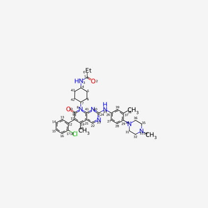 CCC(=O)NC1CCC(n2c(=O)c(-c3ccccc3Cl)c(C)c3cnc(Nc4ccc(N5CCN(C)CC5)c(C)c4)nc32)CC1